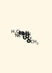 C=CC(=O)N1CCN(c2ncnc3cc(-c4cccc(C)c4F)c4c(c23)OCCC4)C[C@@H]1CC#N